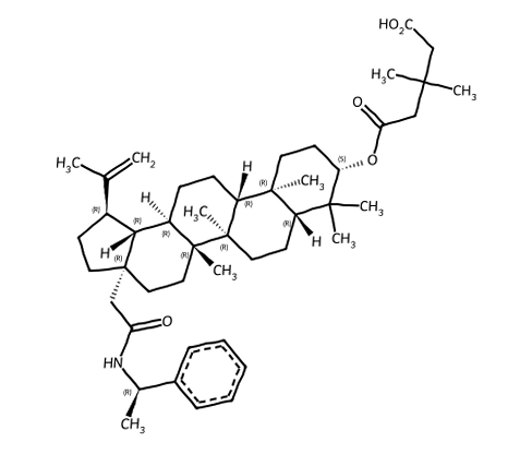 C=C(C)[C@@H]1CC[C@]2(CC(=O)N[C@H](C)c3ccccc3)CC[C@]3(C)[C@H](CC[C@@H]4[C@@]5(C)CC[C@H](OC(=O)CC(C)(C)CC(=O)O)C(C)(C)[C@@H]5CC[C@]43C)[C@@H]12